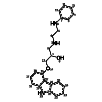 OC(CNCCNc1cc[c]cc1)COc1cccc2[nH]c3ccccc3c12